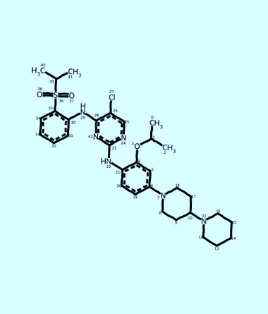 CC(C)Oc1cc(N2CCC(N3CCCCC3)CC2)ccc1Nc1ncc(Cl)c(Nc2ccccc2S(=O)(=O)C(C)C)n1